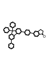 O=C1CCc2cc(-c3ccc(-c4ccc5c(c4)-c4cc(-c6ccccc6)ccc4C5(c4ccccc4)c4ccccc4)cc3)ccc21